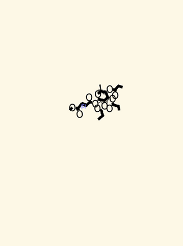 CCC(=O)O[C@H]1[C@H](OC(=O)CC)[C@H](OC(=O)/C=C/C(=O)OC)O[C@@H](C)[C@H]1OC(=O)CC